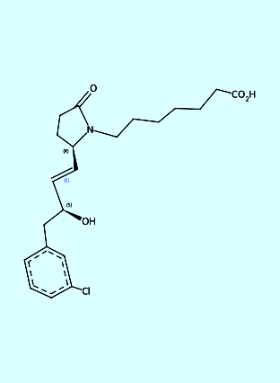 O=C(O)CCCCCCN1C(=O)CC[C@@H]1/C=C/[C@@H](O)Cc1cccc(Cl)c1